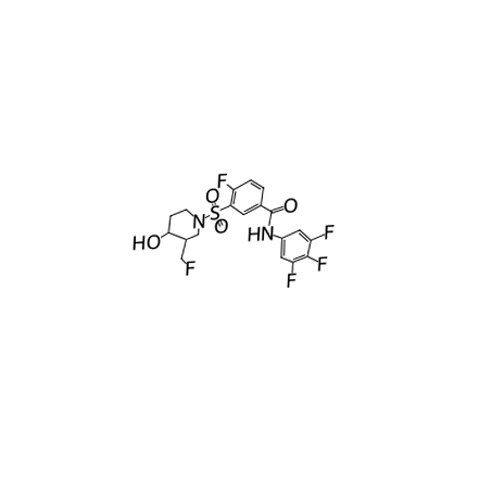 O=C(Nc1cc(F)c(F)c(F)c1)c1ccc(F)c(S(=O)(=O)N2CCC(O)C(CF)C2)c1